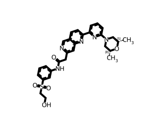 C[C@@H]1CN(c2cccc(-c3ccc4cnc(CC(=O)Nc5cccc(S(=O)(=O)CCO)c5)cc4n3)n2)C[C@H](C)O1